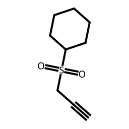 C#CCS(=O)(=O)C1CCCCC1